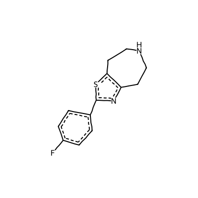 Fc1ccc(-c2nc3c(s2)CCNCC3)cc1